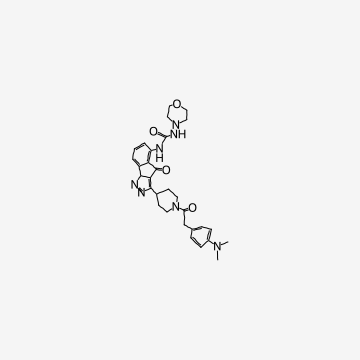 CN(C)c1ccc(CC(=O)N2CCC(C3=C4C(=O)c5c(NC(=O)NN6CCOCC6)cccc5C4N=N3)CC2)cc1